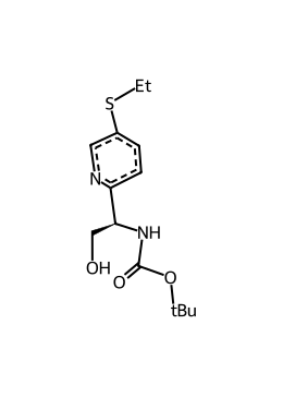 CCSc1ccc([C@H](CO)NC(=O)OC(C)(C)C)nc1